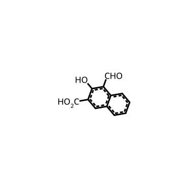 O=Cc1c(O)c(C(=O)O)cc2ccccc12